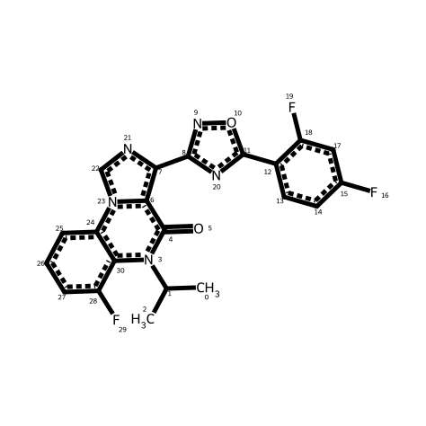 CC(C)n1c(=O)c2c(-c3noc(-c4ccc(F)cc4F)n3)ncn2c2cccc(F)c21